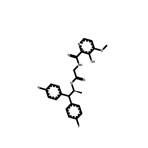 COc1ccnc(C(=O)NCC(=O)O[C@@H](C)C(c2ccc(F)cc2)c2ccc(F)cc2)c1O